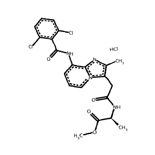 COC(=O)[C@H](C)NC(=O)Cc1c(C)nc2c(NC(=O)c3c(Cl)cccc3Cl)cccn12.Cl